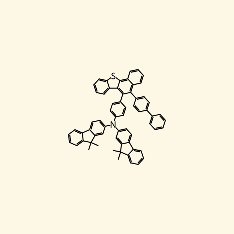 CC1(C)c2ccccc2-c2ccc(N(c3ccc(-c4c(-c5ccc(-c6ccccc6)cc5)c5ccccc5c5sc6ccccc6c45)cc3)c3ccc4c(c3)C(C)(C)c3ccccc3-4)cc21